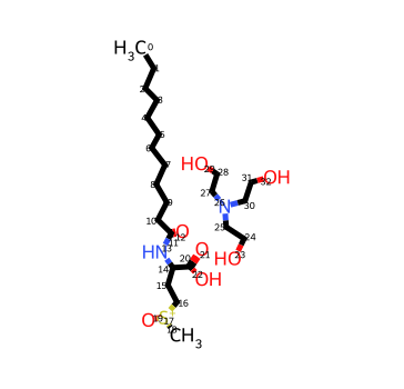 CCCCCCCCCCCC(=O)NC(CC[S+](C)[O-])C(=O)O.OCCN(CCO)CCO